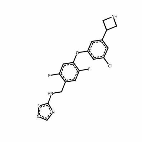 Fc1cc(Oc2cc(Cl)cc(C3CNC3)c2)c(F)cc1CNc1ncns1